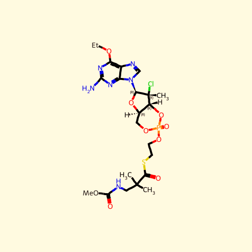 CCOc1nc(N)nc2c1ncn2[C@@H]1O[C@@H]2COP(=O)(OCCSC(=O)C(C)(C)CNC(=O)OC)O[C@H]2[C@@]1(C)Cl